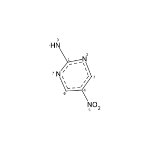 [NH]c1ncc([N+](=O)[O-])cn1